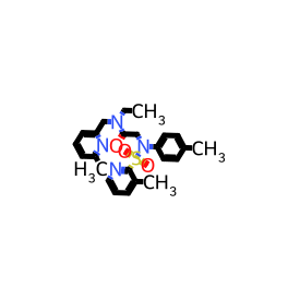 CCN(Cc1cccc(C)n1)C(=O)CN(c1ccc(C)cc1)S(=O)(=O)c1ncccc1C